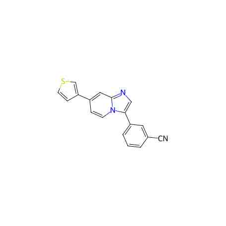 N#Cc1cccc(-c2cnc3cc(-c4ccsc4)ccn23)c1